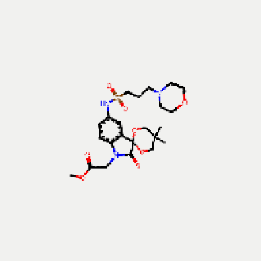 COC(=O)CN1C(=O)C2(OCC(C)(C)CO2)c2cc(NS(=O)(=O)CCCN3CCOCC3)ccc21